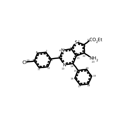 CCOC(=O)c1sc2nc(-c3ccc(Cl)cc3)nc(-c3ccccc3)c2c1N